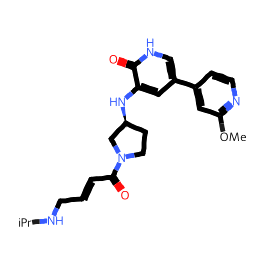 COc1cc(-c2c[nH]c(=O)c(N[C@H]3CCN(C(=O)/C=C/CNC(C)C)C3)c2)ccn1